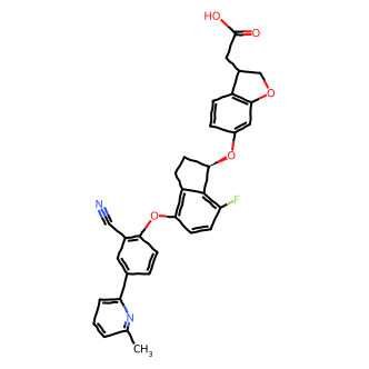 Cc1cccc(-c2ccc(Oc3ccc(F)c4c3CC[C@H]4Oc3ccc4c(c3)OCC4CC(=O)O)c(C#N)c2)n1